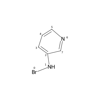 BrNc1cccnc1